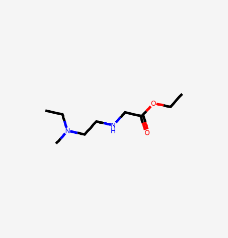 CCOC(=O)CNCCN(C)CC